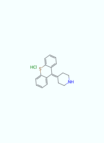 Cl.c1ccc2c(c1)Sc1ccccc1C2=C1CCNCC1